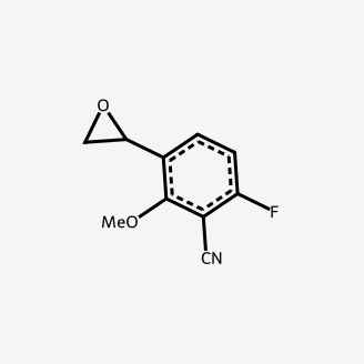 COc1c(C2CO2)ccc(F)c1C#N